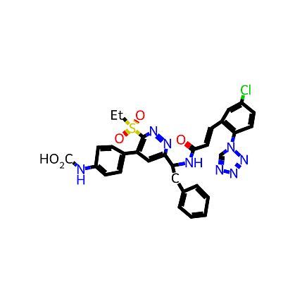 CCS(=O)(=O)c1nnc(C(Cc2ccccc2)NC(=O)C=Cc2cc(Cl)ccc2-n2cnnn2)cc1-c1ccc(NC(=O)O)cc1